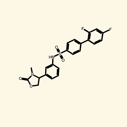 CN1C(=O)OCC1c1cccc(NS(=O)(=O)c2ccc(-c3ccc(F)cc3F)cc2)c1